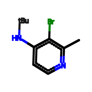 Cc1nccc(NC(C)(C)C)c1Br